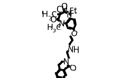 CCN1C(=O)C(C)(C)C(=O)N(C)c2cc(OCCCNCCn3ccc4ccccc4c3=O)ccc21